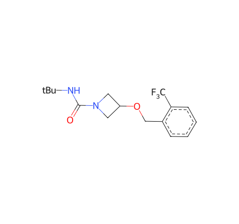 CC(C)(C)NC(=O)N1CC(OCc2ccccc2C(F)(F)F)C1